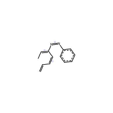 C=C\C=C/C(=C\C)/N=N\c1ccccc1